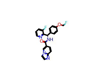 O=C(N[C@@H](c1ccc(OCF)cc1)c1ncccc1F)c1ccc2nccn2c1